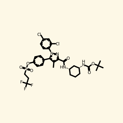 Cc1c(C(=O)N[C@H]2CCC[C@@H](NC(=O)OC(C)(C)C)C2)nn(-c2ccc(Cl)cc2Cl)c1-c1ccc(OS(=O)(=O)CCC(F)(F)F)cc1